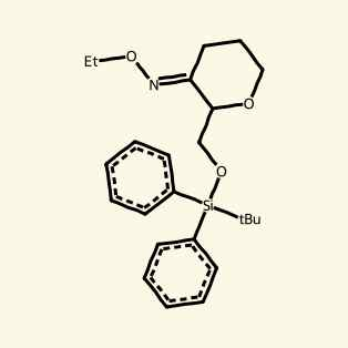 CCON=C1CCCOC1CO[Si](c1ccccc1)(c1ccccc1)C(C)(C)C